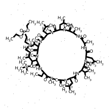 CCOP(=O)(CCNCCC(C)C(O[Si](C)(C)C)C1C(=O)NC(CC)C(=O)N(C)CC(=O)N(C)C(CC(C)C)C(=O)NC(C(C)C)C(=O)N(C)C(CC(C)C)C(=O)NC(C)C(=O)NC(C)C(=O)N(C)C(CC(C)C)C(=O)N(C)C(CC(C)C)C(=O)N(C)C(C(C)C)C(=O)N1C)OCC